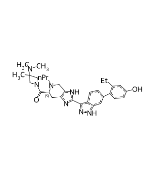 CCCN1Cc2[nH]c(-c3n[nH]c4cc(-c5ccc(O)cc5CC)ccc34)nc2C[C@H]1C(=O)N1CC(C)(N(C)C)C1